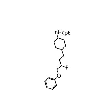 CCCCCCCC1CCC(CCC(F)COc2ccccc2)CC1